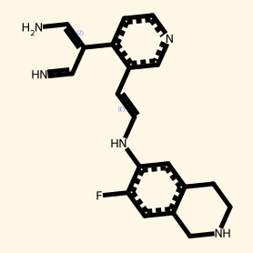 N=C/C(=C\N)c1ccncc1/C=C/Nc1cc2c(cc1F)CNCC2